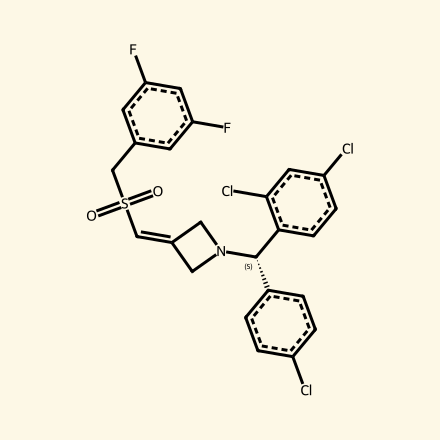 O=S(=O)(C=C1CN([C@@H](c2ccc(Cl)cc2)c2ccc(Cl)cc2Cl)C1)Cc1cc(F)cc(F)c1